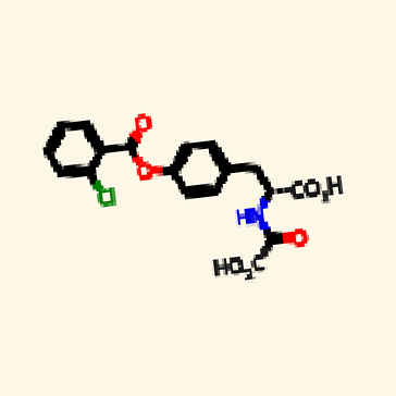 O=C(O)C(=O)N[C@H](Cc1ccc(OC(=O)c2ccccc2Cl)cc1)C(=O)O